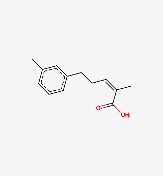 CC(=CCCc1cccc(C)c1)C(=O)O